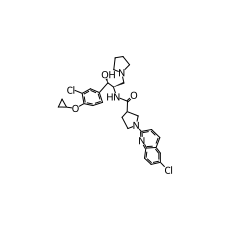 O=C(N[C@H](CN1CCCC1)[C@H](O)c1ccc(OC2CC2)c(Cl)c1)C1CCN(c2ccc3cc(Cl)ccc3n2)C1